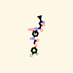 O=C(COc1ccc(Cl)c(F)c1)NC12CCC(NC(=O)c3cc(C4CC4)no3)(CC1)C(O)C2